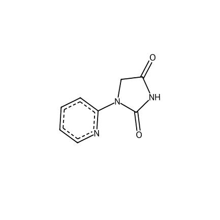 O=C1CN(c2ccccn2)C(=O)N1